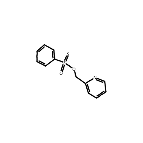 O=S(=S)(OCc1ccccn1)c1ccccc1